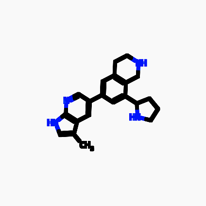 Cc1c[nH]c2ncc(-c3cc4c(c(C5CCCN5)c3)CNCC4)cc12